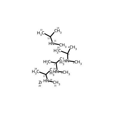 CNC(C)C.CNC(C)C.CNC(C)C.CNC(C)C.[Zr]